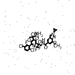 COc1cc(C(=O)NC[C@](O)(c2cc3c(c(-c4c(Cl)ccc(Cl)c4F)n2)OC[C@]3(C)C(N)=O)C(F)(F)F)cc2cn(C3CC3)nc12